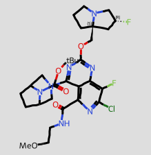 COCCNC(=O)c1nc(Cl)c(F)c2nc(OC[C@@]34CCCN3C[C@H](F)C4)nc(N3CC4CCC(C3)N4C(=O)OC(C)(C)C)c12